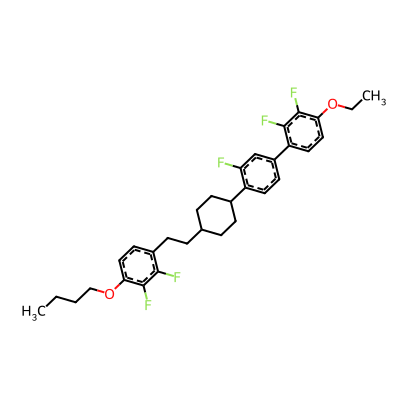 CCCCOc1ccc(CCC2CCC(c3ccc(-c4ccc(OCC)c(F)c4F)cc3F)CC2)c(F)c1F